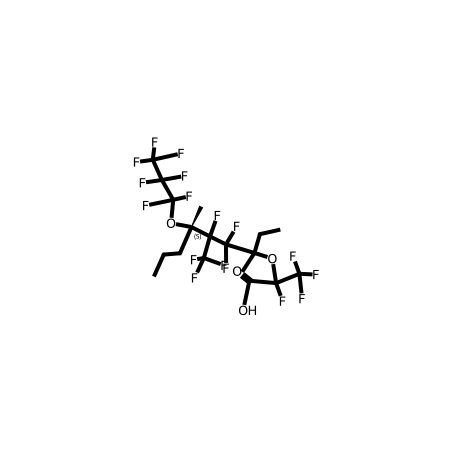 CCC[C@](C)(OC(F)(F)C(F)(F)C(F)(F)F)C(F)(C(F)(F)F)C(F)(F)C(C)(CC)OC(F)(C(=O)O)C(F)(F)F